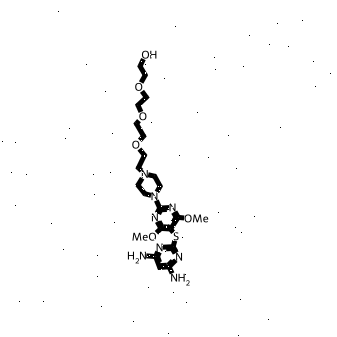 COc1nc(N2CCN(CCOCCOCCOCCO)CC2)nc(OC)c1Sc1nc(N)cc(N)n1